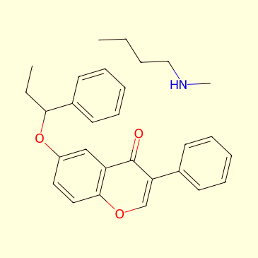 CCC(Oc1ccc2occ(-c3ccccc3)c(=O)c2c1)c1ccccc1.CCCCNC